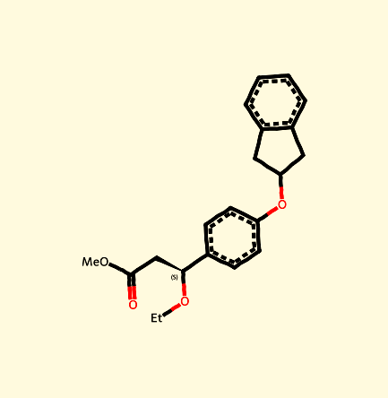 CCO[C@@H](CC(=O)OC)c1ccc(OC2Cc3ccccc3C2)cc1